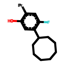 CC(C)c1cc(F)c(C2CCCCCCC2)cc1O